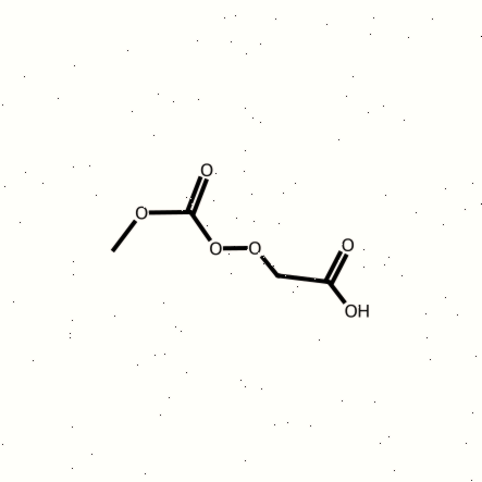 COC(=O)OOCC(=O)O